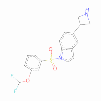 O=S(=O)(c1cccc(OC(F)F)c1)n1ccc2cc(C3CNC3)ccc21